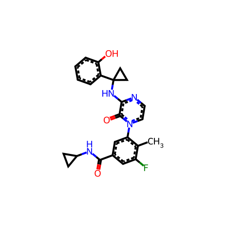 Cc1c(F)cc(C(=O)NC2CC2)cc1-n1ccnc(NC2(c3ccccc3O)CC2)c1=O